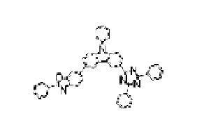 c1ccc(-c2nc(-c3ccccc3)nc(-c3ccc4c(c3)c3cc(-c5ccc6nc(-c7ccccc7)oc6c5)ccc3n4-c3ccccc3)n2)cc1